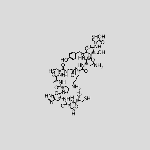 C[C@H](NC(=O)[C@@H]1CCCN1C(=O)[C@H](Cc1c[nH]cn1)NC(=O)[C@H](CS)NC(=O)[C@@H](N)CS)C(=O)N[C@@H](CS)C(=O)NCC(=O)N[C@@H](CCCCN)C(=O)N[C@@H](CC(N)=O)C(=O)N[C@@H](Cc1ccc(O)cc1)C(=O)N[C@@H](CO)C(=O)N[C@@H](CS)C(=O)O